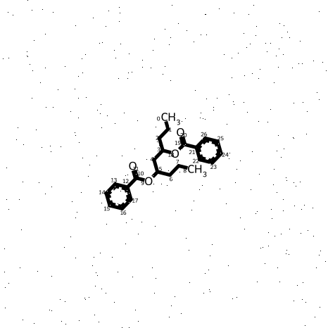 CCCC(CC(CCC)OC(=O)c1ccccc1)OC(=O)c1ccccc1